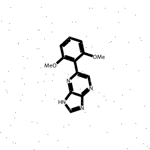 COc1cccc(OC)c1-c1cnc2nc[nH]c2n1